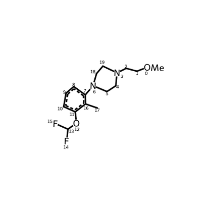 COCCN1CCN(c2cccc(OC(F)F)c2C)CC1